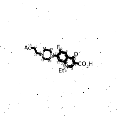 CCn1cc(C(=O)O)c(=O)c2cc(F)c(N3CCN(CCC(C)=O)CC3)cc21